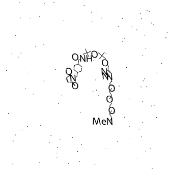 CNCCOCCOCCOCCn1cc(COCC(C)(C)COCC(C)(C)CNC(=O)C2CCC(CN3C(=O)C=CC3=O)CC2)nn1